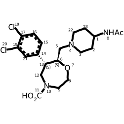 CC(=O)NC1CCN(C[C@H]2OCCN(C(=O)O)C[C@@H]2c2ccc(Cl)c(Cl)c2)CC1